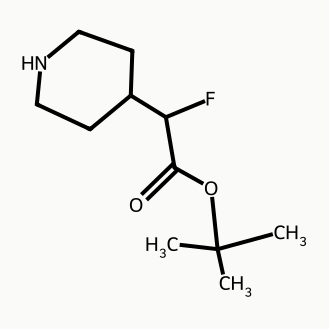 CC(C)(C)OC(=O)C(F)C1CCNCC1